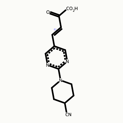 N#CC1CCN(c2ncc(/C=C/C(=O)C(=O)O)cn2)CC1